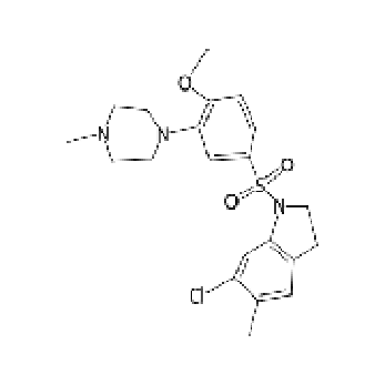 COc1ccc(S(=O)(=O)N2CCc3cc(C)c(Cl)cc32)cc1N1CCN(C)CC1